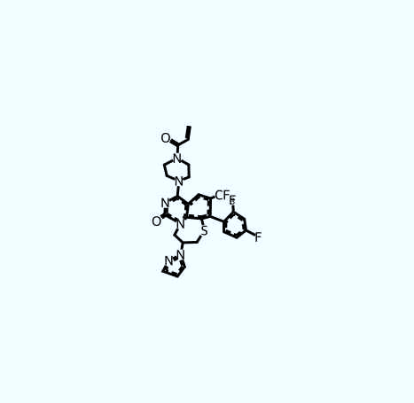 C=CC(=O)N1CCN(c2nc(=O)n3c4c(c(-c5ccc(F)cc5F)c(C(F)(F)F)cc24)SCC(n2cccn2)C3)CC1